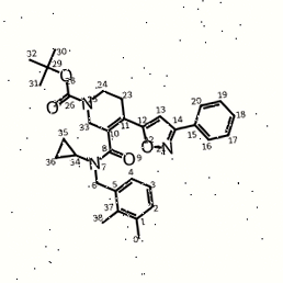 Cc1cccc(CN(C(=O)C2=C(c3cc(-c4ccccc4)no3)CCN(C(=O)OC(C)(C)C)C2)C2CC2)c1C